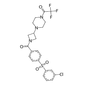 O=C(c1ccc(S(=O)(=O)c2cccc(Cl)c2)cc1)N1CC(N2CCN(C(=O)C(F)(F)F)CC2)C1